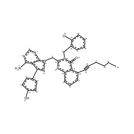 Nc1ncnc2c1c(-c1ccc(O)cc1)nn2Cc1nc2cccc(C#CCCCI)c2c(=O)n1Cc1ccccc1Cl